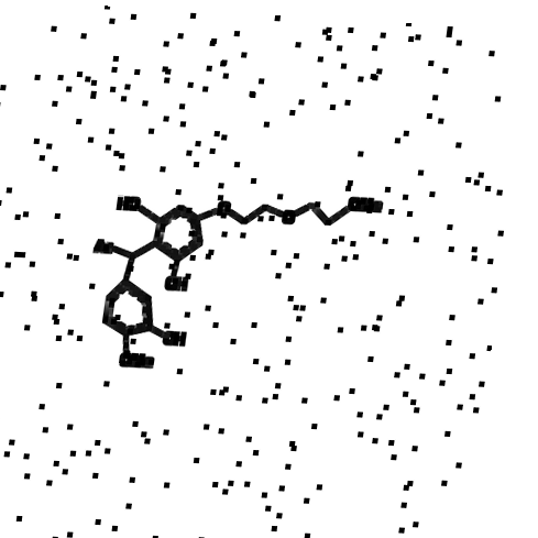 COCCOCCOc1cc(O)c(C(C(C)=O)c2ccc(OC)c(O)c2)c(O)c1